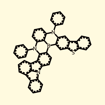 c1ccc(N2c3cc4c(cc3B3c5ccc6c(c5N(c5ccccc5)c5cccc2c53)c2cccc3c5ccccc5n6c32)sc2ccccc24)cc1